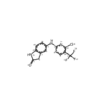 O=C1Cc2cc(Nc3ncc(C(F)(F)F)c(Cl)n3)ccc2N1